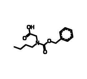 CCCCN(CC(=O)O)C(=O)OCc1ccccc1